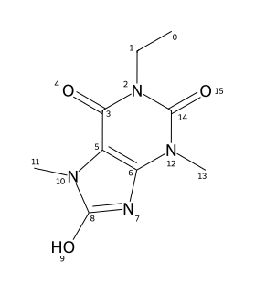 CCn1c(=O)c2c(nc(O)n2C)n(C)c1=O